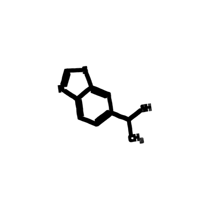 CC(S)c1ccc2ncsc2c1